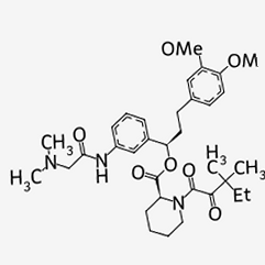 CCC(C)(C)C(=O)C(=O)N1CCCC[C@H]1C(=O)O[C@H](CCc1ccc(OC)c(OC)c1)c1cccc(NC(=O)CN(C)C)c1